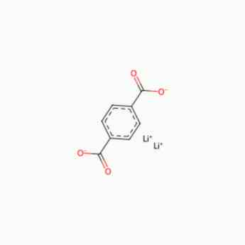 O=C([O-])c1ccc(C(=O)[O-])cc1.[Li+].[Li+]